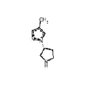 Cc1cnn([C@@H]2CCNC2)c1